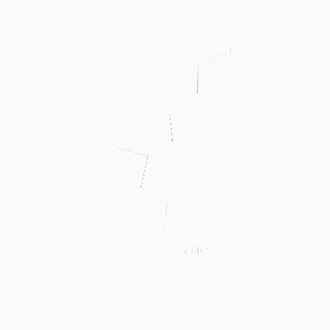 CCCCCCCCCCC(C)CCCC[C](C)C